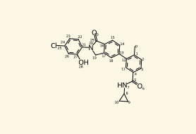 Cc1ccc(C(=O)NC2CC2)cc1-c1ccc2c(c1)CN(c1ccc(Cl)cc1O)C2=O